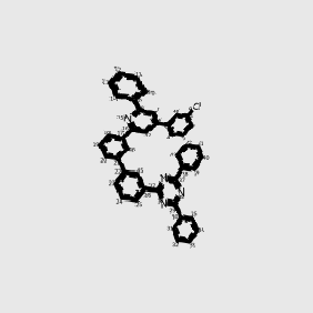 Clc1cccc(-c2cc(-c3ccccc3)nc(-c3cccc(-c4cccc(-c5nc(-c6ccccc6)nc(-c6ccccc6)n5)c4)c3)c2)c1